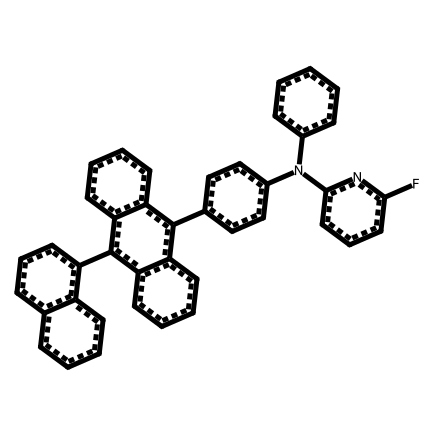 Fc1cccc(N(c2ccccc2)c2ccc(-c3c4ccccc4c(-c4cccc5ccccc45)c4ccccc34)cc2)n1